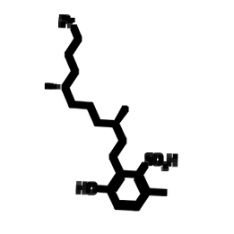 Cc1ccc(O)c(CC[C@H](C)CCC[C@H](C)CCCC(C)C)c1S(=O)(=O)O